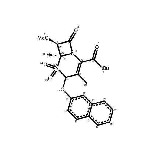 CO[C@H]1C(=O)N2C(C(=O)C(C)(C)C)=C(C)C(Oc3ccc4ccccc4c3)S(=O)(=O)[C@@H]12